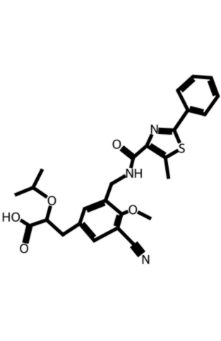 COc1c(C#N)cc(CC(OC(C)C)C(=O)O)cc1CNC(=O)c1nc(-c2ccccc2)sc1C